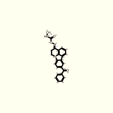 CNC(=O)O/N=C1\CCn2c3ccc(C(=O)c4ccccc4)cc3c3cccc1c32